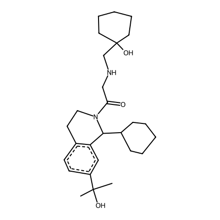 CC(C)(O)c1ccc2c(c1)C(C1CCCCC1)N(C(=O)CNCC1(O)CCCCC1)CC2